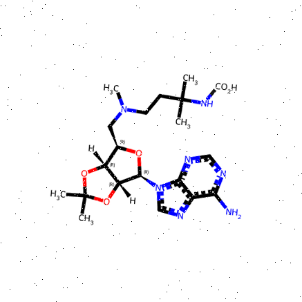 CN(CCC(C)(C)NC(=O)O)C[C@H]1O[C@@H](n2cnc3c(N)ncnc32)[C@@H]2OC(C)(C)O[C@@H]21